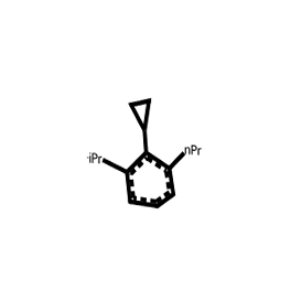 CCCc1cccc([C](C)C)c1C1CC1